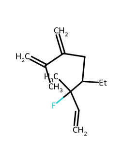 C=CC(C)(F)C(CC)CC(=C)C(=C)C